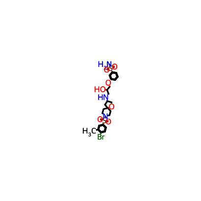 Cc1cc(S(=O)(=O)N2CCC3(CC2)C[C@@H](NCC(O)COc2cccc(S(N)(=O)=O)c2)CO3)ccc1Br